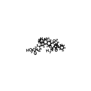 CC(C)(O)C(=O)N1CCC(c2cc(-c3ccc(C4OCCn5c4c(C(N)=O)c(=O)n5-c4ccccn4)cc3)c3c(N)ncnn23)CC1